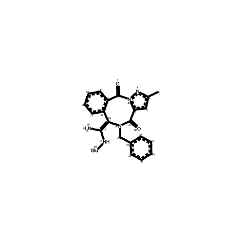 Cc1cc2n(n1)C(=O)c1ccccc1/C(=C(\N)NC(C)(C)C)N(Cc1ccccc1)C2=O